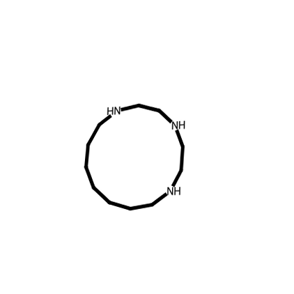 C1CCCNCCNCCNCCC1